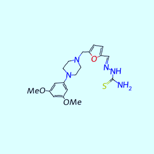 COc1cc(OC)cc(N2CCN(Cc3ccc(C=NNC(N)=S)o3)CC2)c1